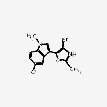 CCC1=C(c2cn(C)c3ccc(Cl)cc23)OC(C)N1